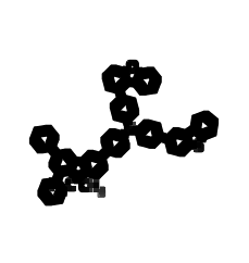 CC1(C)c2ccc(-c3ccc(N(c4ccc(-c5ccc6sc7ccccc7c6c5)cc4)c4ccc(-c5cccc6oc7ccccc7c56)cc4)cc3)cc2-c2cc(-c3ccccc3)cc(-c3ccccc3)c21